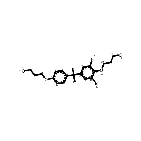 CC(C)(c1ccc(OCCCO)cc1)c1cc(Br)c(OCCCCl)c(Br)c1